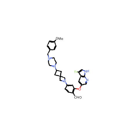 COc1ccc(CN2CCN(C3CC4(C3)CN(c3ccc(C=O)c(Oc5cnc6[nH]cc(F)c6c5)c3)C4)CC2)cc1